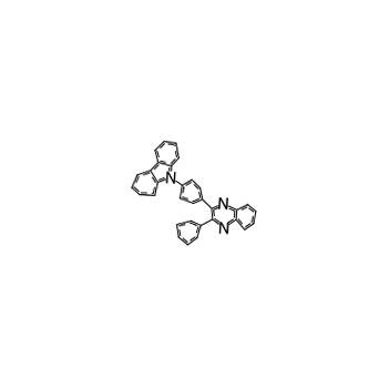 c1ccc(-c2nc3ccccc3nc2-c2ccc(-n3c4ccccc4c4ccccc43)cc2)cc1